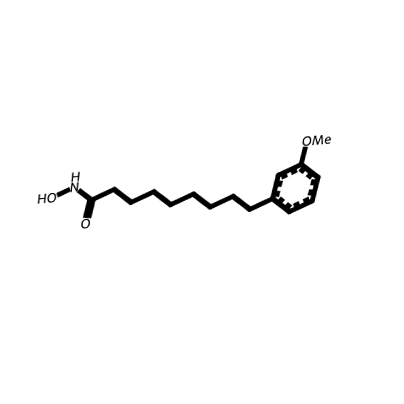 COc1cccc(CCCCCCCCC(=O)NO)c1